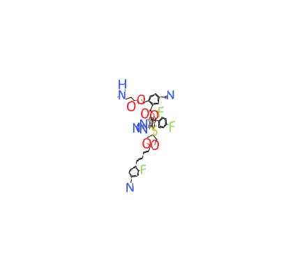 CNCCC(=O)OCc1ccc(C#N)cc1C(=O)O[C@@](Cn1cncn1)(c1ccc(F)cc1F)[C@@H](C)S[C@H]1CO[C@H](C=CC=Cc2ccc(C#N)cc2F)OC1